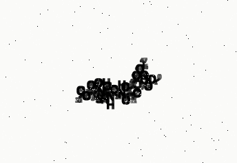 CCOC(=O)Oc1cc2oc(C)c(C(=O)NCC(=O)N[C@@H]3C(=O)N4C(C(=O)O)=C(COC(C)=O)CS[C@@H]34)c(=O)c2cc1OC(=O)OCC